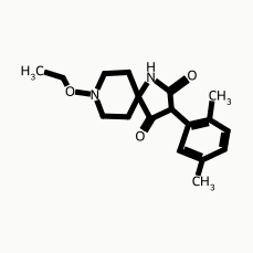 CCON1CCC2(CC1)NC(=O)C(c1cc(C)ccc1C)C2=O